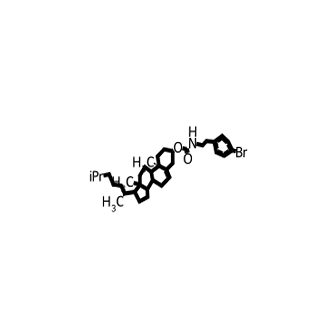 CC(C)CCC[C@@H](C)C1CCC2C3CC=C4CC(OC(=O)NCCc5ccc(Br)cc5)CC[C@]4(C)C3CCC21C